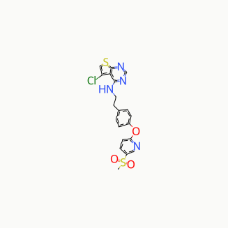 CS(=O)(=O)c1ccc(Oc2ccc(CCNc3ncnc4scc(Cl)c34)cc2)nc1